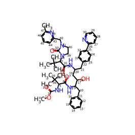 COC(=O)NC(C(=O)NC(Cc1ccccc1)C(O)CC(Cc1ccc(-c2ccccn2)cc1)NC(=O)C(N1CCN(Cc2cccc(C)n2)C1=O)C(C)(C)C)C(C)(C)C